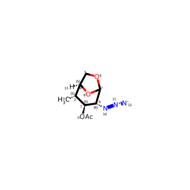 CC(=O)O[C@H]1[C@H](C)[C@H]2COC(O2)[C@@H]1N=[N+]=[N-]